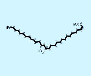 CCCCCCCC/C=C\CCCCCCCCCCCCC(CCCCCCCCCCCCCC(C)C)C(=O)O